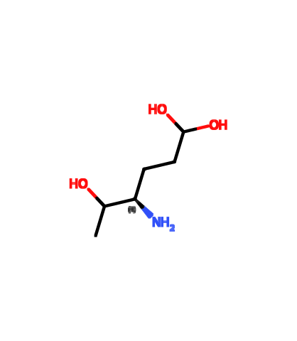 CC(O)[C@H](N)CCC(O)O